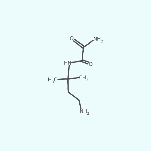 CC(C)(CCN)NC(=O)C(N)=O